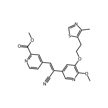 COC(=O)c1cc(C=C(C#N)c2cnc(OC)c(OCCc3scnc3C)c2)ccn1